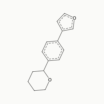 c1cc(-c2ccc(C3CCCCO3)cc2)co1